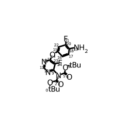 CC(C)(C)OC(=O)N(C(=O)OC(C)(C)C)c1ncnc(Oc2ccc(N)c(F)c2)c1F